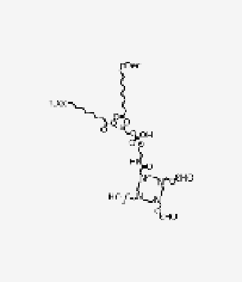 CCCCCCCCCCCCCCCCCCC(=O)O[C@@H](COC(=O)CCCCCCCCCCCCCCCCC)COP(=O)(O)OCCNC(=O)CN1CCN(COC=O)CCN(COC=O)CCN(CC(=O)O)CC1